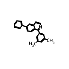 Cc1cc(C)cc(-c2nccc3cc(-c4ccccc4)ccc23)c1